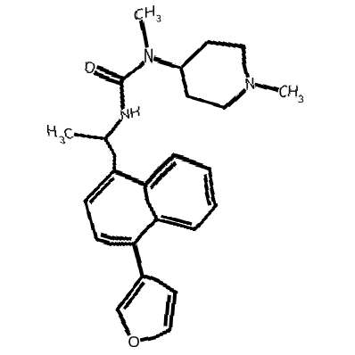 CC(NC(=O)N(C)C1CCN(C)CC1)c1ccc(-c2ccoc2)c2ccccc12